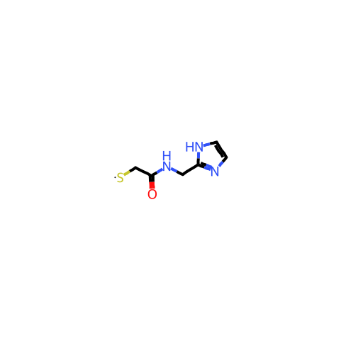 O=C(C[S])NCc1ncc[nH]1